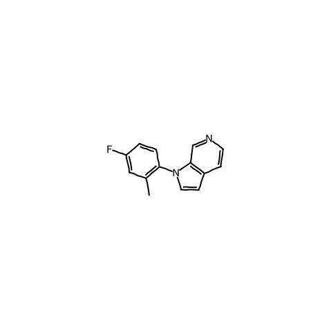 Cc1cc(F)ccc1-n1ccc2ccncc21